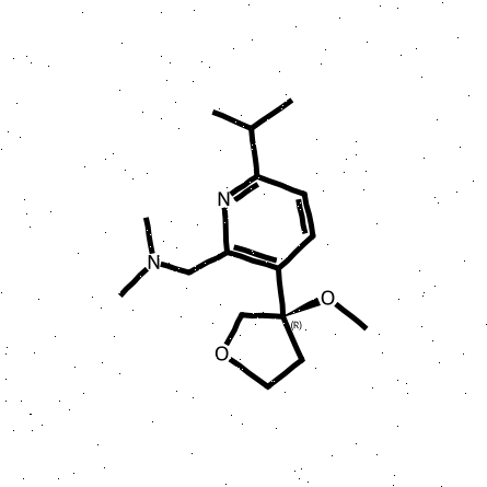 CO[C@@]1(c2ccc(C(C)C)nc2CN(C)C)CCOC1